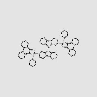 c1ccc(-n2c(-c3ccc4c5ccccc5n(-n5c6ccccc6c6ccc(-c7nc8c9ccccc9c9ccccc9c8n7-c7ccccc7)cc65)c4c3)nc3c4ccccc4c4ccccc4c32)cc1